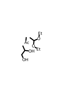 CC(C)=O.CC(O)CO.CCOC(C)OCC